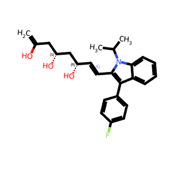 C=C(O)C[C@@H](O)C[C@@H](O)/C=C/c1c(-c2ccc(F)cc2)c2ccccc2n1C(C)C